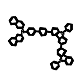 c1ccc(-n2c3ccccc3c3cc(-c4ccc5c(c4)c4cc(-c6ccc(-c7ccc(N(c8ccc9ccccc9c8)c8ccc9ccccc9c8)cc7)cc6)ccc4n5-c4ccccc4)ccc32)cc1